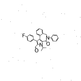 CC(C)n1c(C=O)c(-c2ccc(F)cc2)c2c1C(=O)N(c1ccccc1)Cc1ccccc1-2